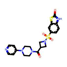 O=C(C1CN(S(=O)(=O)c2ccc3[nH]c(=O)sc3c2)C1)N1CCN(c2ccncc2)CC1